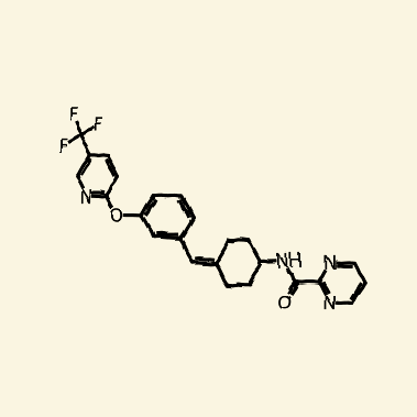 O=C(NC1CCC(=Cc2cccc(Oc3ccc(C(F)(F)F)cn3)c2)CC1)c1ncccn1